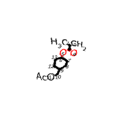 C=C(C)C(=O)OC1CCC(COC(C)=O)CC1